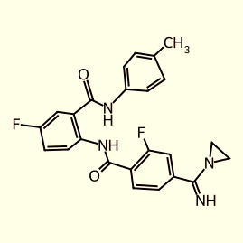 Cc1ccc(NC(=O)c2cc(F)ccc2NC(=O)c2ccc(C(=N)N3CC3)cc2F)cc1